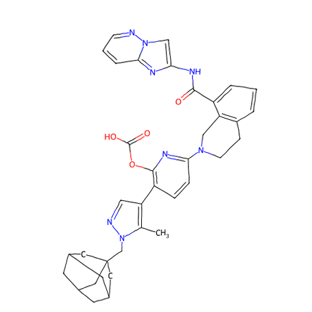 Cc1c(-c2ccc(N3CCc4cccc(C(=O)Nc5cn6ncccc6n5)c4C3)nc2OC(=O)O)cnn1CC12CC3CC(CC(C3)C1)C2